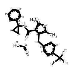 Cc1sc(C)c(C(=O)NC2(c3ccccc3)CC2)c1Cc1ccc(C(F)(F)F)cc1.O=CO